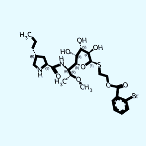 CCC[C@H]1CN[C@H](C(=O)N[C@@H]([C@H]2O[C@H](SCCOC(=O)c3ccccc3Br)[C@H](O)[C@@H](O)[C@H]2O)[C@@H](C)OC)C1